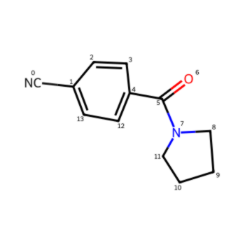 N#Cc1ccc(C(=O)N2CCCC2)cc1